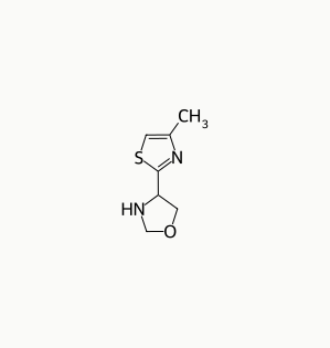 Cc1csc(C2COCN2)n1